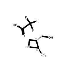 C[C@H]1NC[C@@H]1CO.O=C(O)C(F)(F)F